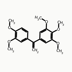 C=C(c1ccc(OC)c(OC)c1)c1cc(OC)c(OC)c(OC)c1